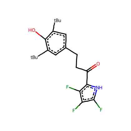 CC(C)(C)c1cc(CCC(=O)c2[nH]c(F)c(F)c2F)cc(C(C)(C)C)c1O